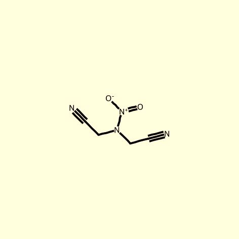 N#CCN(CC#N)[N+](=O)[O-]